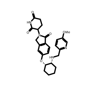 COc1ccc(CN[C@@H]2CCCC[C@@H]2Oc2ccc3c(c2)CN(C2CCC(=O)NC2=O)C3=O)nc1